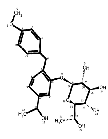 COc1ccc(Cc2ccc(C(C)O)cc2O[C@@H]2O[C@H]([C@@H](C)O)[C@@H](O)[C@H](O)[C@H]2O)cc1